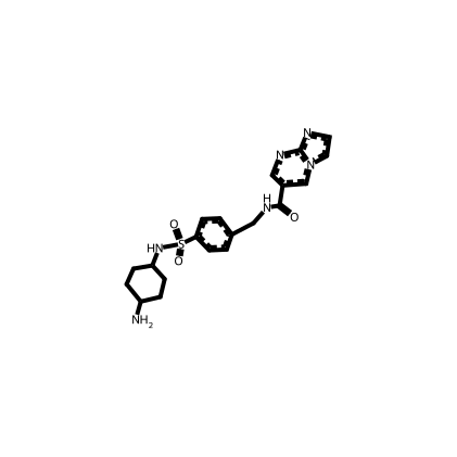 NC1CCC(NS(=O)(=O)c2ccc(CNC(=O)c3cnc4nccn4c3)cc2)CC1